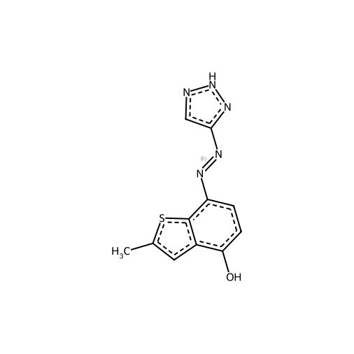 Cc1cc2c(O)ccc(/N=N/c3cn[nH]n3)c2s1